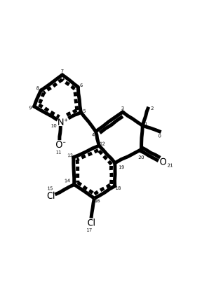 CC1(C)C=C(c2cccc[n+]2[O-])c2cc(Cl)c(Cl)cc2C1=O